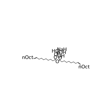 CCCCCCCCC=CCCCCCCCC(=O)OC(=O)CCCCCCC/C=C\CCCCCCCC.O=P(O)(O)O.[NaH]